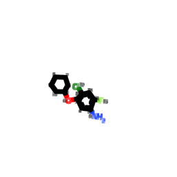 Nc1cc(OC2CCCCC2)c(Cl)cc1F